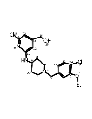 CCOc1cc(CN2CCC(Nc3cc(CO)cc(Cl)n3)CC2)ccc1Cl